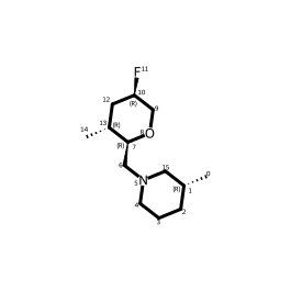 C[C@@H]1CCCN(C[C@@H]2OC[C@H](F)C[C@H]2C)C1